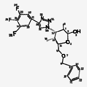 CC1C(O)OC(COCc2ccccc2)[C@H](C)[C@@H]1n1cc(-c2cc(F)c(F)c(F)c2)nn1